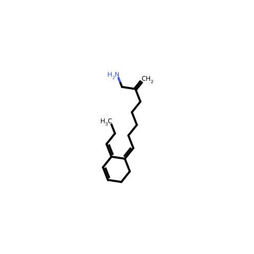 C=C(CN)CCCC/C=C1/CCC=C/C1=C/CC